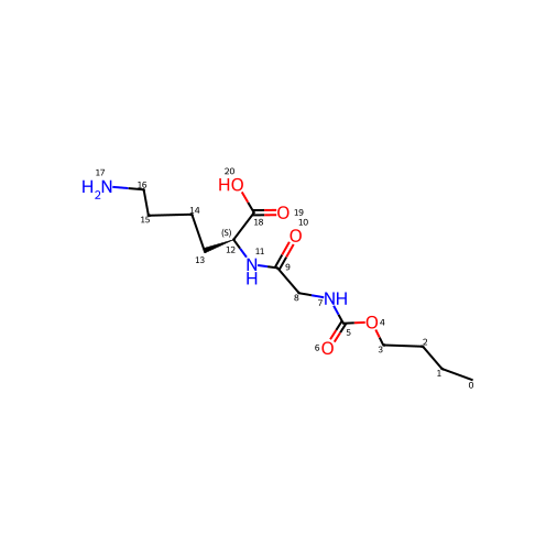 CCCCOC(=O)NCC(=O)N[C@@H](CCCCN)C(=O)O